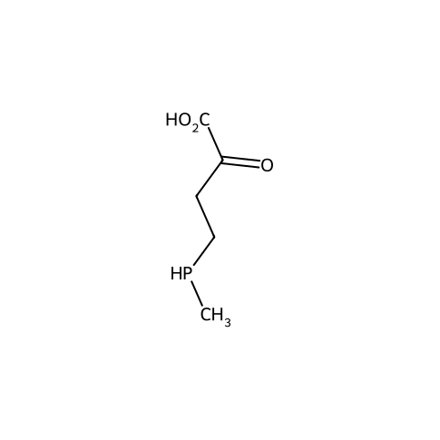 CPCCC(=O)C(=O)O